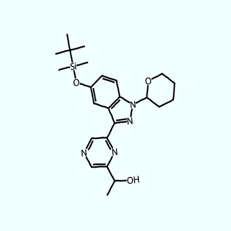 CC(O)c1cncc(-c2nn(C3CCCCO3)c3ccc(O[Si](C)(C)C(C)(C)C)cc23)n1